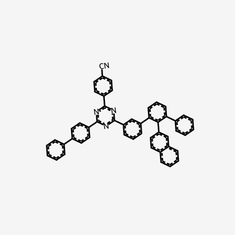 N#Cc1ccc(-c2nc(-c3ccc(-c4ccccc4)cc3)nc(-c3cccc(-c4cccc(-c5ccccc5)c4-c4ccc5ccccc5c4)c3)n2)cc1